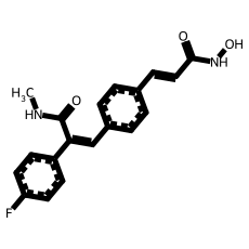 CNC(=O)/C(=C\c1ccc(/C=C/C(=O)NO)cc1)c1ccc(F)cc1